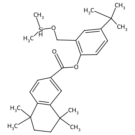 C[SiH](C)OCc1cc(C(C)(C)C)ccc1OC(=O)c1ccc2c(c1)C(C)(C)CCC2(C)C